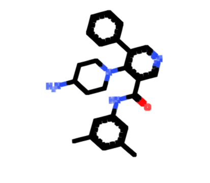 Cc1cc(C)cc(NC(=O)c2cncc(-c3ccccc3)c2N2CCC(N)CC2)c1